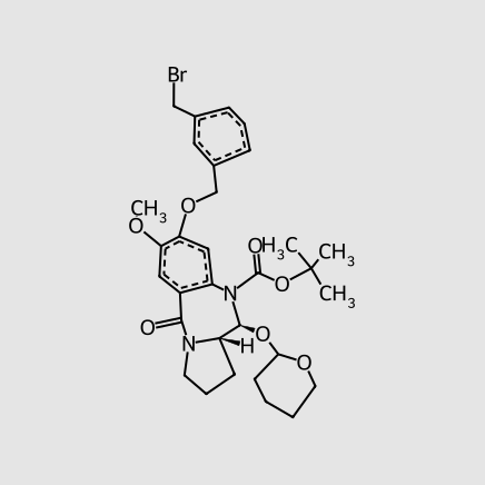 COc1cc2c(cc1OCc1cccc(CBr)c1)N(C(=O)OC(C)(C)C)[C@@H](OC1CCCCO1)[C@@H]1CCCN1C2=O